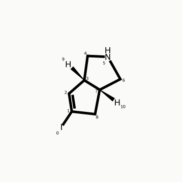 IC1=C[C@@H]2CNC[C@@H]2C1